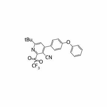 CC(C)(C)c1cc(-c2ccc(Oc3ccccc3)cc2)c(C#N)c(S(=O)(=O)C(F)(F)F)n1